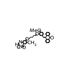 COc1ccc(C=C2c3ccccc3C(=O)c3ccccc32)cc1OCCCCCOc1cc2c(cc1C)C(=O)N1CCC[C@H]1C=N2